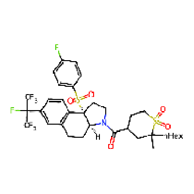 CCCCCCC1(C)CC(C(=O)N2CC[C@]3(S(=O)(=O)c4ccc(F)cc4)c4ccc(C(F)(C(F)(F)F)C(F)(F)F)cc4CC[C@H]23)CCS1(=O)=O